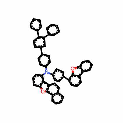 c1ccc(-c2ccc(-c3ccc(N(c4ccc(-c5cccc6c5oc5ccccc56)cc4)c4cccc5oc6c7ccccc7ccc6c45)cc3)cc2-c2ccccc2)cc1